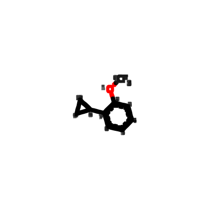 FC(F)(F)Oc1ccccc1C1[CH]C1